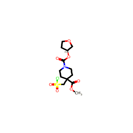 COC(=O)C1(CS(=O)(=O)Cl)CCN(C(=O)O[C@H]2CCOC2)CC1